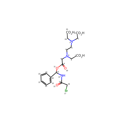 O=C(O)CN(CCN(CC(=O)O)CC(=O)OC(NC(=O)CBr)c1ccccc1)CC(=O)O